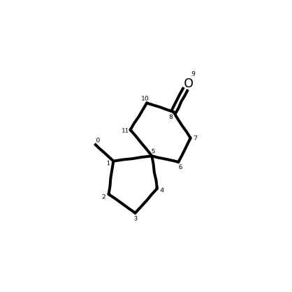 CC1CCCC12CCC(=O)CC2